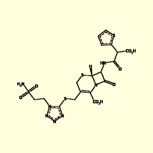 NS(=O)(=O)CCn1nnnc1SCC1=C(C(=O)O)N2C(=O)C(NC(=O)C(C(=O)O)c3cccs3)[C@H]2SC1